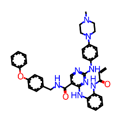 C=CC(=O)Nc1ccccc1Nc1nc(Nc2ccc(N3CCN(C)CC3)cc2)ncc1C(=O)NCc1ccc(Oc2ccccc2)cc1